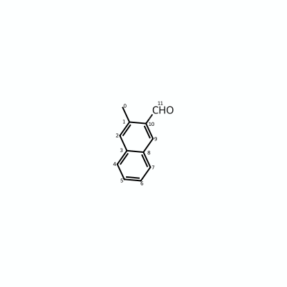 Cc1cc2ccccc2cc1C=O